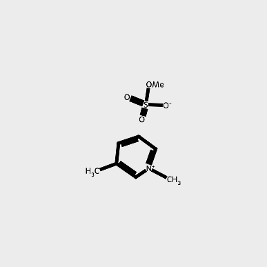 COS(=O)(=O)[O-].Cc1ccc[n+](C)c1